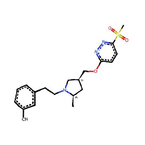 C[C@@H]1C[C@H](COc2ccc(S(C)(=O)=O)nn2)CN1CCc1cccc(C#N)c1